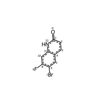 O=c1ccc2cc(Br)c(F)cc2[nH]1